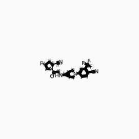 N#Cc1ccc(N2CC3C(C2)C3NCC(=O)N2C[C@@H](F)C[C@H]2C#N)cc1C(F)(F)F